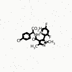 Cc1nn(C)c(-c2ncc(F)cc2F)c1C(=O)NC(C(=O)O)c1ccc(Cl)cc1